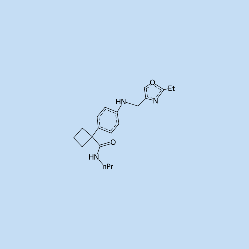 CCCNC(=O)C1(c2ccc(NCc3coc(CC)n3)cc2)CCC1